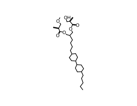 C=C(CO)C(=O)OCC(CCCCC1CCC(C2CCC(CCCCC)CC2)CC1)COC(=O)C(=C)COC